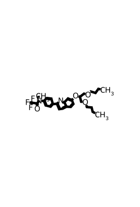 CCCCOCC(COCCCC)Oc1ccc2ccc(-c3ccc(N(C)C(=O)C(F)(F)F)cc3)nc2c1